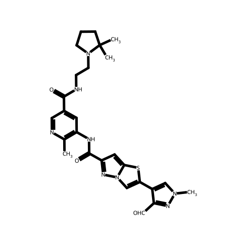 Cc1ncc(C(=O)NCCN2CCCC2(C)C)cc1NC(=O)c1cc2sc(-c3cn(C)nc3C=O)cn2n1